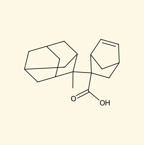 CC1(C2(C(=O)O)CC3C=CC2C3)C2CC3CC(C2)CC1C3